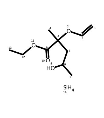 C=COC(C)(CC(C)O)C(=O)OCC.[SiH4]